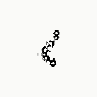 Cc1ccccc1-c1cc2c3c([nH]c2nn1)CCN(c1ncc(N2CCC4(CCCC4)C2)cn1)C3C